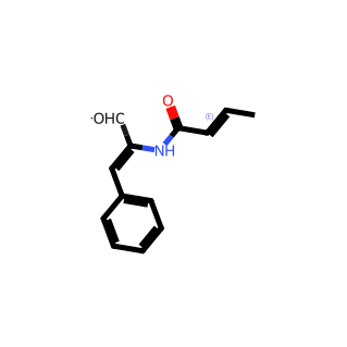 C/C=C/C(=O)NC([C]=O)=Cc1ccccc1